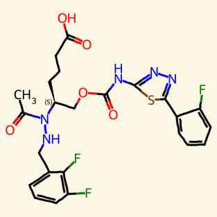 CC(=O)N(NCc1cccc(F)c1F)[C@@H](CCCC(=O)O)COC(=O)Nc1nnc(-c2ccccc2F)s1